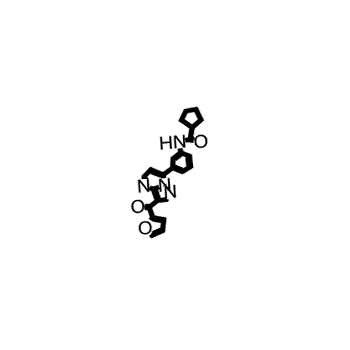 O=C(c1ccco1)c1cnn2c(-c3cccc(NC(=O)C4CCCC4)c3)ccnc12